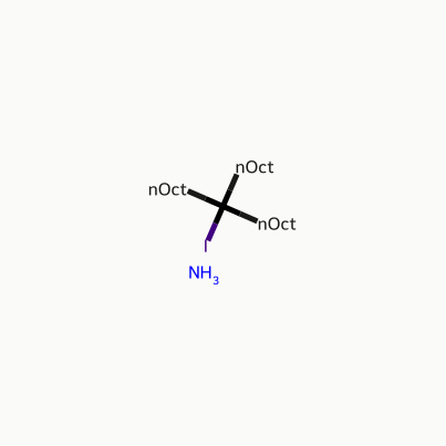 CCCCCCCCC(I)(CCCCCCCC)CCCCCCCC.N